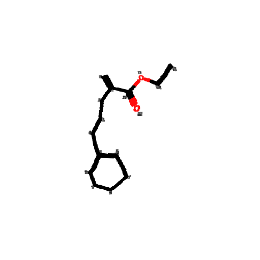 C=C(CCCC1CCCCC1)C(=O)OCC